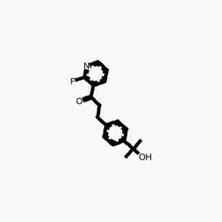 CC(C)(O)c1ccc(CCC(=O)c2cccnc2F)cc1